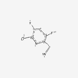 N=Cc1nc(Cl)c(F)cc1F